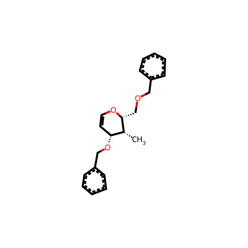 C[C@@H]1[C@H](OCc2ccccc2)C=CO[C@@H]1COCc1ccccc1